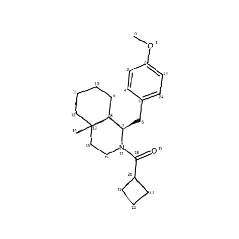 COc1ccc(C[C@@H]2C3CCCCC3(C)CCN2C(=O)C2CCC2)cc1